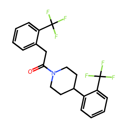 O=C(Cc1ccccc1C(F)(F)F)N1CCC(c2ccccc2C(F)(F)F)CC1